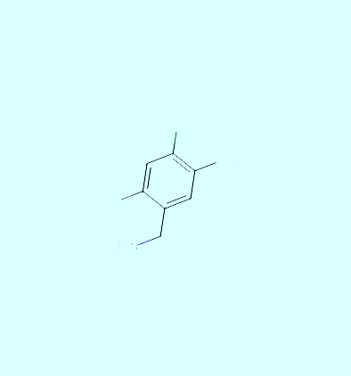 Cc1cc(CN)c(F)cc1Cl